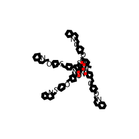 [CH2]CC(Sc1ccccc1COc1ccc(OCc2ccc3ccccc3n2)cc1)C(C1(COc2ccc(COc3ccc(SCc4ccc5ccccc5n4)cc3)cc2)N=NN=N1)(C1(Cc2ccc(CSc3ccc(OCc4ccc5ccccc5n4)cc3)cc2)N=NN=N1)C1(CN(C(C)=O)c2ccc(COc3ccc(OCc4ccc5ccccc5n4)cc3)cc2)N=NN=N1